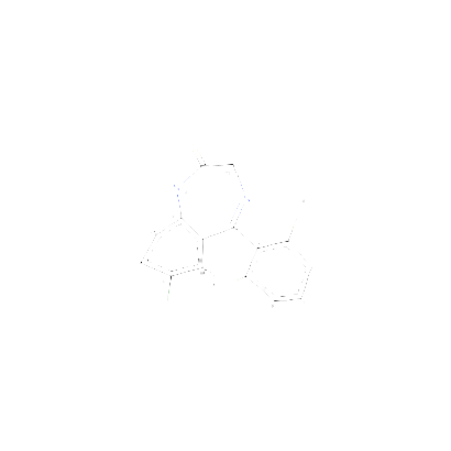 C[C@@H]1N=C(c2c(F)cccc2F)c2c(ccc(Cl)c2Cl)NC1=S